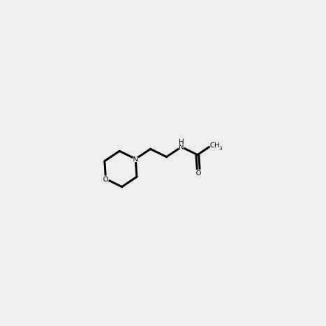 CC(=O)NCCN1CCOCC1